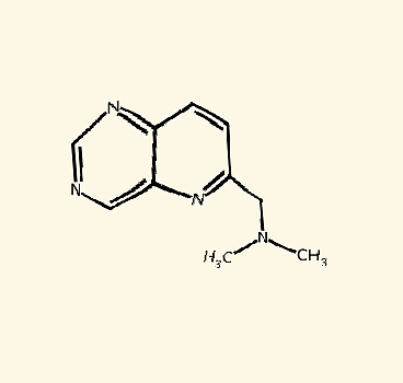 CN(C)Cc1ccc2ncncc2n1